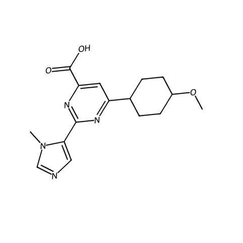 COC1CCC(c2cc(C(=O)O)nc(-c3cncn3C)n2)CC1